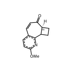 COc1ccc2c(n1)C1CC[C@@H]1C(=O)C=C2